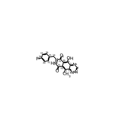 Cc1c2nncnc2c(O)c2c(=O)n(Cc3ccc(F)cc3)[nH]c(=O)c12